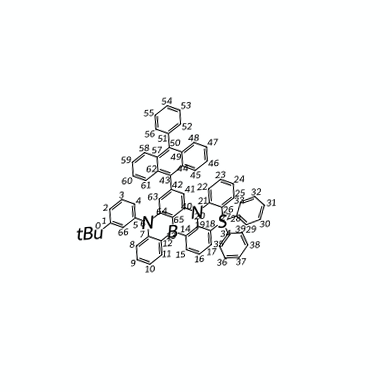 CC(C)(C)c1cccc(N2c3ccccc3B3c4cccc5c4N(c4ccccc4S5(c4ccccc4)c4ccccc4)c4cc(-c5c6ccccc6c(-c6ccccc6)c6ccccc56)cc2c43)c1